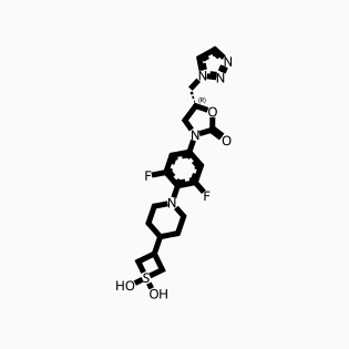 O=C1O[C@@H](Cn2ccnn2)CN1c1cc(F)c(N2CCC(C3CS(O)(O)C3)CC2)c(F)c1